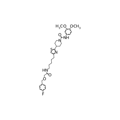 COc1ccc(NC(=O)N2CCC(c3nc(CCCCCNC(=O)COCc4ccc(F)cc4)cs3)CC2)cc1OC